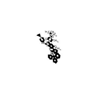 Cc1ccc2c(c(I)nn2C(c2ccccc2)(c2ccccc2)c2ccccc2)c1-c1c(Cl)cc2c(N3C[C@H](C)N(C(=O)OC(C)(C)C)C[C@@H]3C)nc(NC3CCN(C4CC4)CC3)nc2c1F